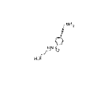 NCC#Cc1ccc(C(=O)NCCCCN)cc1